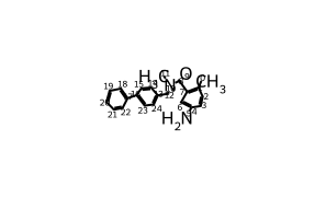 Cc1ccc(N)cc1C(=O)N(C)Cc1ccc(-c2ccccc2)cc1